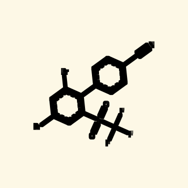 N#Cc1ccc(-c2c(Br)cc(Br)cc2S(=O)(=O)C(F)(F)F)cc1